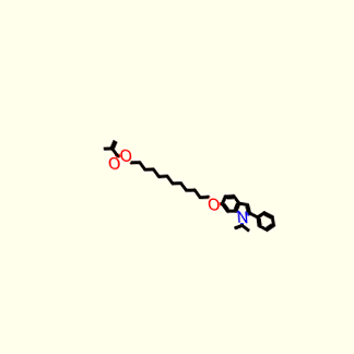 C=C(C)C(=O)OCCCCCCCCCCCCOc1ccc2cc(-c3ccccc3)n(C(C)C)c2c1